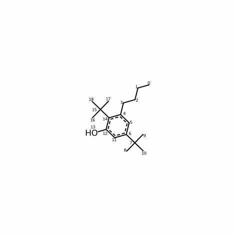 CCCCc1cc(C(C)(C)C)cc(O)c1C(C)(C)C